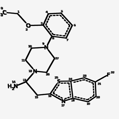 CCOc1ccccc1N1CCN(C(N)Cc2nc3ccc(F)cc3s2)CC1